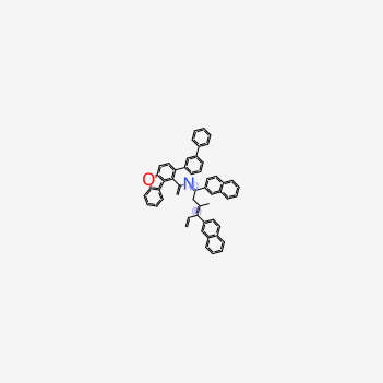 C=C/C(=C(/C)C/C(=N\C(=C)c1c(-c2cccc(-c3ccccc3)c2)ccc2oc3ccccc3c12)c1ccc2ccccc2c1)c1ccc2ccccc2c1